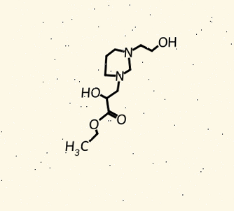 CCOC(=O)C(O)CN1CCCN(CCO)C1